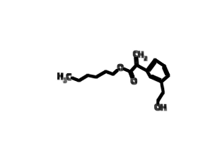 C=C(C(=O)OCCCCCC)c1cccc(CCO)c1